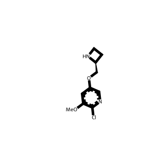 COc1cc(OC[C@@H]2CCN2)cnc1Cl